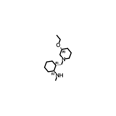 CCO[C@@H]1CCCN(C[C@H]2CCCC[C@@H]2NC)C1